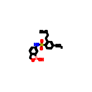 COCCc1cc([N+](=O)[O-])ccc1S(=O)(=O)Nc1ccc2c(c1)B(O)OC2